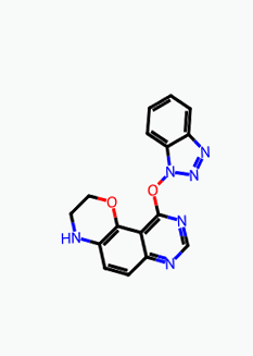 c1ccc2c(c1)nnn2Oc1ncnc2ccc3c(c12)OCCN3